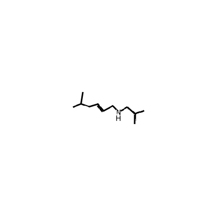 CC(C)C/C=C/CNCC(C)C